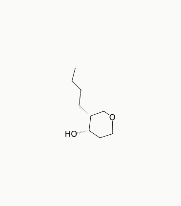 CCCC[C@@H]1COCC[C@@H]1O